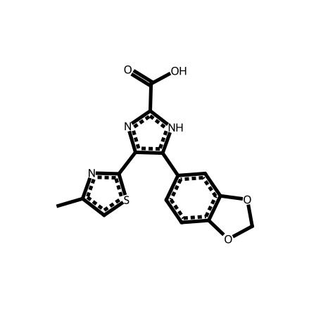 Cc1csc(-c2nc(C(=O)O)[nH]c2-c2ccc3c(c2)OCO3)n1